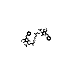 Cc1nc(Cc2ccccc2)c2c(c1N(CCC(C)CCOCCC(C)CCN(c1c(C)nc(Cc3ccccc3)c3c1COC3)C(C)C)C(C)C)COC2